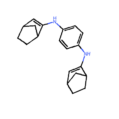 C1=C(Nc2ccc(NC3=CC4CCC3C4)cc2)C2CCC1C2